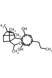 CCCc1cc(O)c(C2C=C(C)C3CC2(C(C)C)C3(C)C)c(O)c1